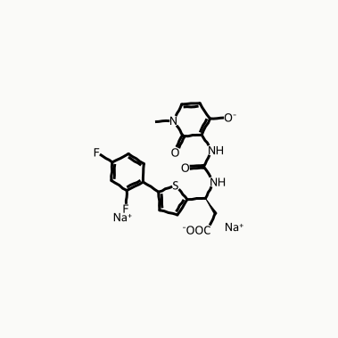 Cn1ccc([O-])c(NC(=O)N[C@@H](CC(=O)[O-])c2ccc(-c3ccc(F)cc3F)s2)c1=O.[Na+].[Na+]